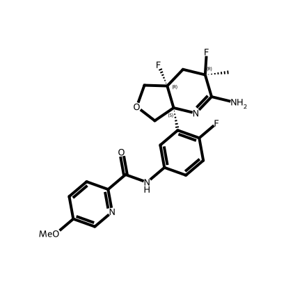 COc1ccc(C(=O)Nc2ccc(F)c([C@]34COC[C@@]3(F)C[C@@](C)(F)C(N)=N4)c2)nc1